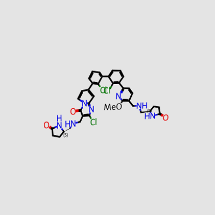 COc1nc(-c2cccc(-c3cccc(-c4ccn5c(=O)c(CNC[C@@H]6CCC(=O)N6)c(Cl)nc5c4)c3Cl)c2Cl)ccc1CNC[C@H]1CCC(=O)N1